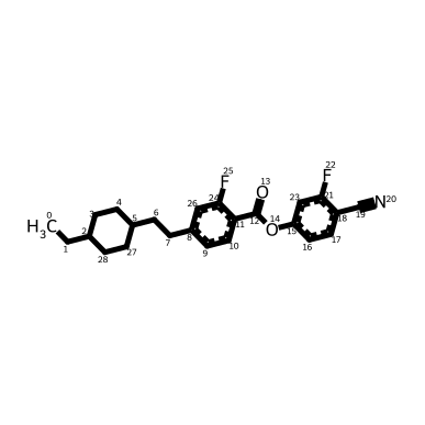 CCC1CCC(CCc2ccc(C(=O)Oc3ccc(C#N)c(F)c3)c(F)c2)CC1